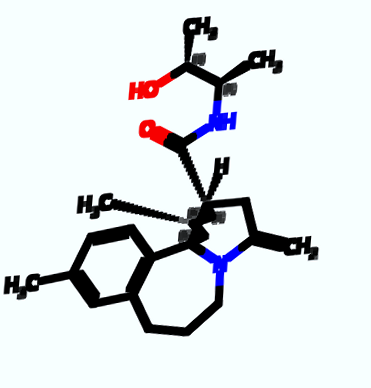 C=C1C[C@H]2[C@H](C(=O)N[C@H](C)[C@@H](C)O)[C@@H](C)CC23c2ccc(C)cc2CCCN13